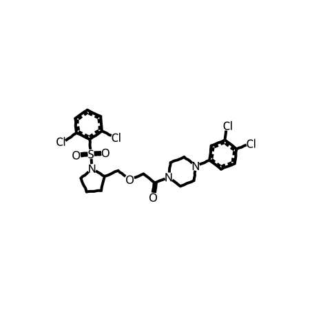 O=C(COCC1CCCN1S(=O)(=O)c1c(Cl)cccc1Cl)N1CCN(c2ccc(Cl)c(Cl)c2)CC1